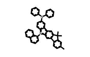 Cc1ccc2c(c1)C(C)(C)c1cc3c4cc(N(c5ccccc5)c5ccccc5)ccc4n(-c4cccc5ccccc45)c3cc1-2